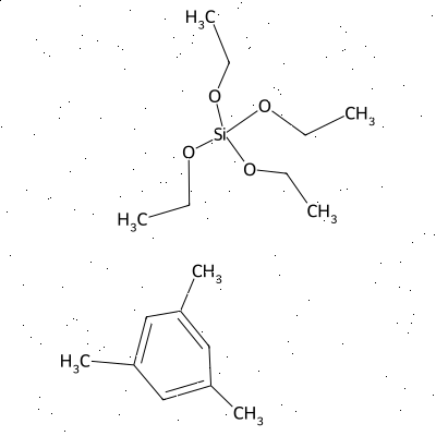 CCO[Si](OCC)(OCC)OCC.Cc1cc(C)cc(C)c1